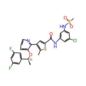 Cc1sc(C(=O)Nc2cc(Cl)cc(NS(C)(=O)=O)c2)cc1-c1ncccc1O[C@@H](C)c1cc(F)cc(F)c1